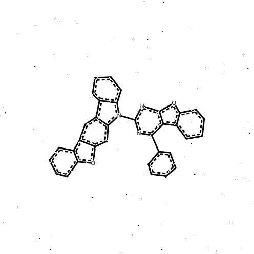 c1ccc(-c2nc(-n3c4ccccc4c4cc5c(cc43)oc3ccccc35)nc3oc4ccccc4c23)cc1